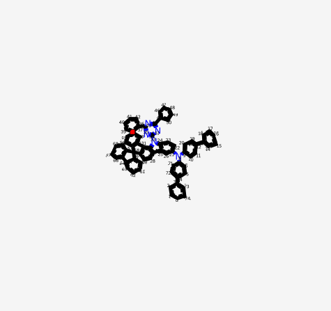 c1ccc(-c2ccc(N(c3ccc(-c4ccccc4)cc3)c3ccc4c(c3)c3ccc5c(c3n4-c3nc(-c4ccccc4)nc(-c4ccccc4)n3)-c3ccccc3C53c4ccccc4-c4ccccc43)cc2)cc1